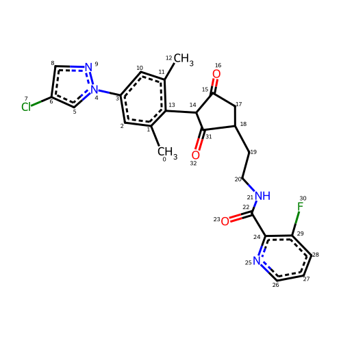 Cc1cc(-n2cc(Cl)cn2)cc(C)c1C1C(=O)CC(CCNC(=O)c2ncccc2F)C1=O